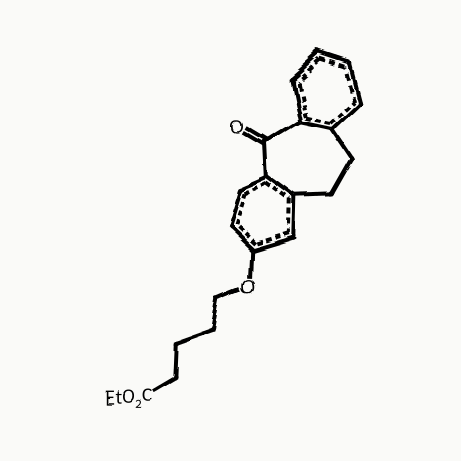 CCOC(=O)CCCCOc1ccc2c(c1)CCc1ccccc1C2=O